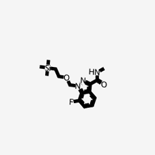 CNC(=O)c1nn(COCC[Si](C)(C)C)c2c(F)cccc12